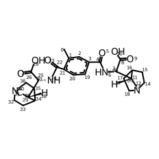 Cc1cc(C(=O)N[C@@H](C(=O)O)[C@H]2CN3CCC2CC3)ccc1C(=O)N[C@@H](C(=O)O)[C@H]1CN2CCC1CC2